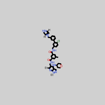 CCc1nc2c(cnn2CC)c(NC2CCOCC2)c1CNC(=O)c1cc(C)cc(C(=O)NCc2ccc(Cl)c(-c3cccc(CN4C[C@@H]5C[C@H]4CN5)c3)c2)c1